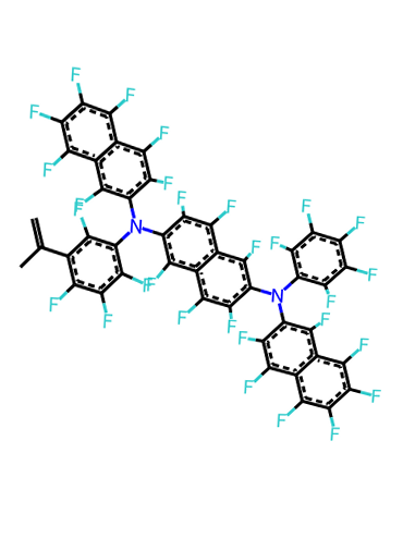 C=C(C)c1c(F)c(F)c(F)c(N(c2c(F)c(F)c3c(F)c(F)c(F)c(F)c3c2F)c2c(F)c(F)c3c(F)c(N(c4c(F)c(F)c(F)c(F)c4F)c4c(F)c(F)c5c(F)c(F)c(F)c(F)c5c4F)c(F)c(F)c3c2F)c1F